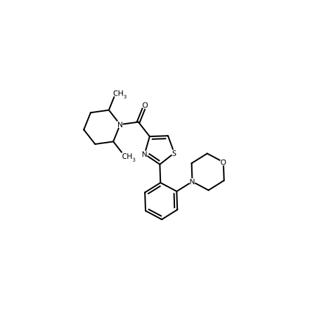 CC1CCCC(C)N1C(=O)c1csc(-c2ccccc2N2CCOCC2)n1